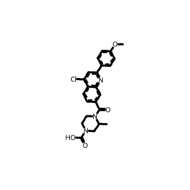 COc1ccc(-c2cc(Cl)c3ccc(C(=O)N4CCN(C(=O)O)CC4C)cc3n2)cc1